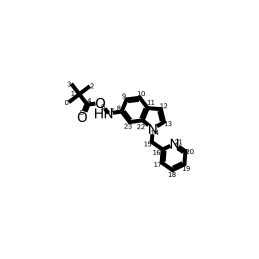 CC(C)(C)C(=O)ONc1ccc2ccn(Cc3ccccn3)c2c1